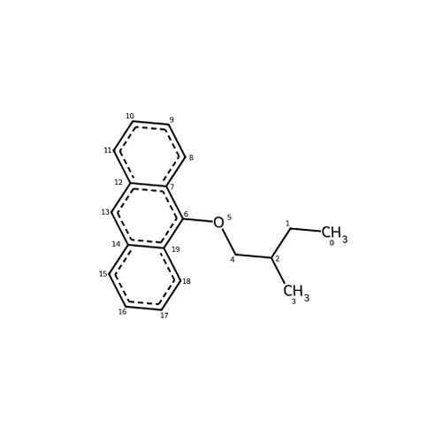 CCC(C)COc1c2ccccc2cc2ccccc12